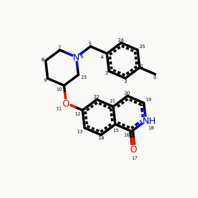 Cc1ccc(CN2CCCC(Oc3ccc4c(=O)[nH]ccc4c3)C2)cc1